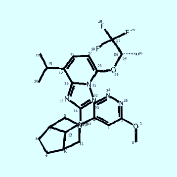 COc1cc(N2CC3CCC(C2)C3Nc2nc3c(C(C)C)ccc(O[C@@H](C)C(F)(F)F)n3n2)cnn1